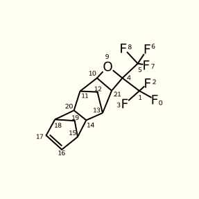 FC(F)(F)C1(C(F)(F)F)OC2C3CC(C4C5C=CC(C5)C34)C21